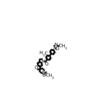 CC[N+]1([O-])CCC2(CC1)COc1cc3c(cc12)N(C(=O)c1ccc(-c2ccc(N4C=NC(C)O4)cc2)c(C)c1)CC3